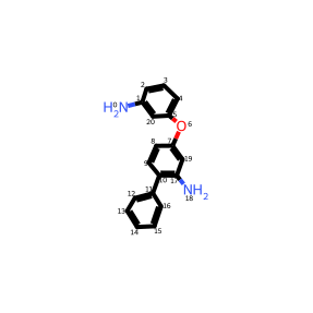 Nc1cccc(Oc2ccc(-c3ccccc3)c(N)c2)c1